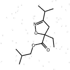 CCC1(C(=O)OCC(C)C)CC(C(C)C)=NO1